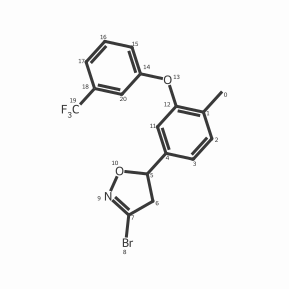 Cc1ccc(C2CC(Br)=NO2)cc1Oc1cccc(C(F)(F)F)c1